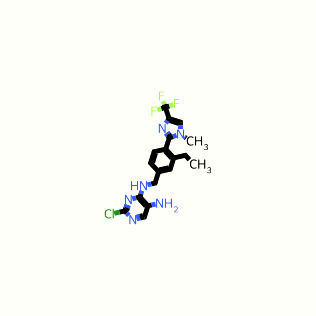 CCc1cc(CNc2nc(Cl)ncc2N)ccc1-c1nc(C(F)(F)F)cn1C